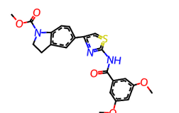 COC(=O)N1CCc2cc(-c3csc(NC(=O)c4cc(OC)cc(OC)c4)n3)ccc21